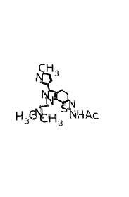 CC(=O)Nc1nc2c(s1)-c1c(c(-c3ccc(C)nc3)nn1CCN(C)C)CC2